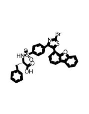 O=C(O)[C@H](Cc1ccccc1)NS(=O)(=O)c1ccc(-c2nc(Br)sc2-c2cccc3c2oc2ccccc23)cc1